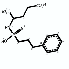 O=C(O)CCC(NP(O)(=S)CCCc1ccccc1)C(=O)O